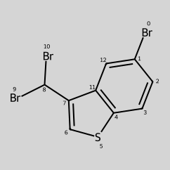 Brc1ccc2scc(C(Br)Br)c2c1